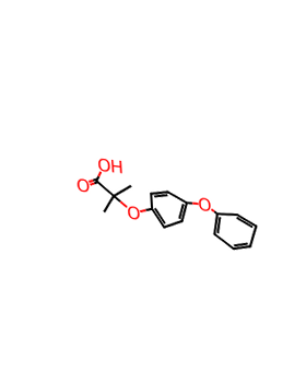 CC(C)(Oc1ccc(Oc2ccccc2)cc1)C(=O)O